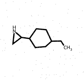 CCC1CCC(C2CN2)CC1